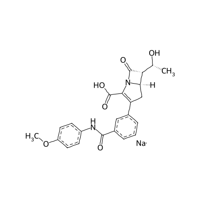 COc1ccc(NC(=O)c2cccc(C3=C(C(=O)O)N4C(=O)[C@H]([C@@H](C)O)[C@H]4C3)c2)cc1.[Na]